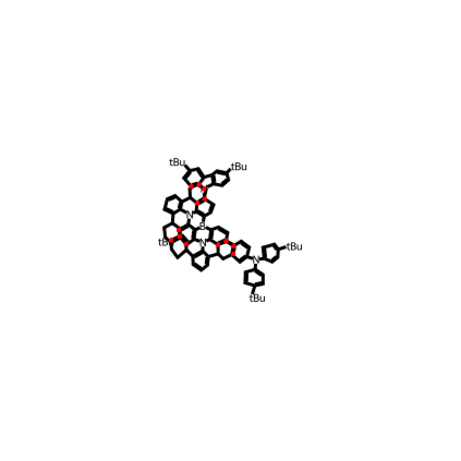 CC(C)(C)c1ccc(N(c2ccc(-c3ccc4c(c3)N(c3c(C5CCCCC5)cccc3C3CCCCC3)c3cc(C(C)(C)C)cc5c3B4c3ccc(-n4c6ccc(C(C)(C)C)cc6c6cc(C(C)(C)C)ccc64)cc3N5c3c(C4CCCCC4)cccc3C3CCCCC3)cc2)c2ccc(C(C)(C)C)cc2)cc1